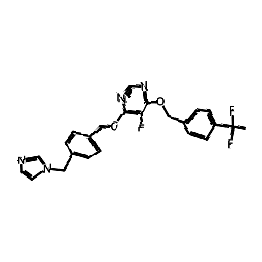 CC(F)(F)c1ccc(COc2ncnc(OCc3ccc(Cn4ccnc4)cc3)c2F)cc1